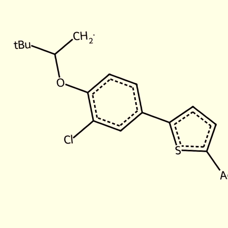 [CH2]C(Oc1ccc(-c2ccc(C(C)=O)s2)cc1Cl)C(C)(C)C